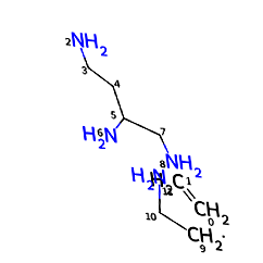 C=C.NCCC(N)CN.[CH2]CN